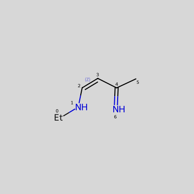 CCN/C=C\C(C)=N